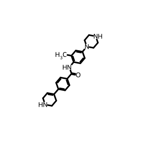 Cc1cc(N2CCNCC2)ccc1NC(=O)c1ccc(C2=CCNCC2)cc1